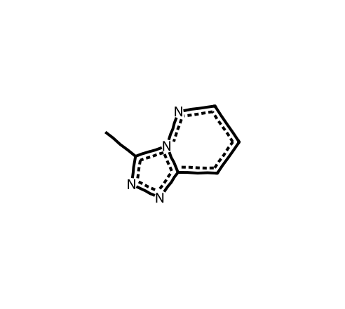 Cc1nnc2cccnn12